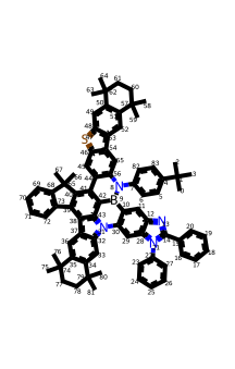 CC(C)(C)c1ccc(N2B3c4cc5nc(-c6ccccc6)n(-c6ccccc6)c5cc4-n4c5cc6c(cc5c5c7c(c(c3c54)-c3cc4sc5cc8c(cc5c4cc32)C(C)(C)CCC8(C)C)C(C)(C)c2ccccc2-7)C(C)(C)CCC6(C)C)cc1